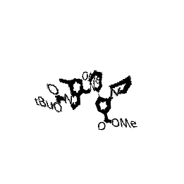 COC(=O)c1ccc([C@H]2CCCCN2Cc2c(OC)cc(C)c3c2ccn3C(=O)OC(C)(C)C)c(N2CCC2)c1